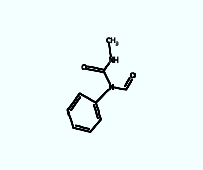 CNC(=O)N(C=O)c1ccccc1